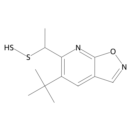 CC(SS)c1nc2oncc2cc1C(C)(C)C